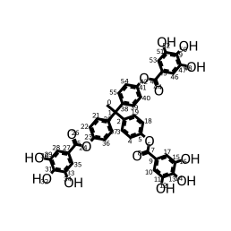 CC(c1ccc(OC(=O)c2cc(O)c(O)c(O)c2)cc1)(c1ccc(OC(=O)c2cc(O)c(O)c(O)c2)cc1)c1ccc(OC(=O)c2cc(O)c(O)c(O)c2)cc1